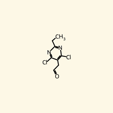 CCc1nc(Cl)c(CC=O)c(Cl)n1